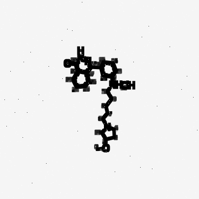 COC1CCN(CCCCCNc2cccc(-c3n[nH]c(=O)c4ccccc34)c2)C1.Cl